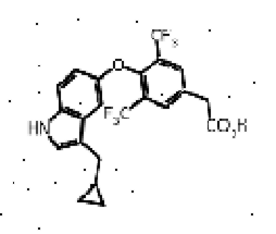 O=C(O)Cc1cc(C(F)(F)F)c(Oc2ccc3[nH]cc(CC4CC4)c3c2)c(C(F)(F)F)c1